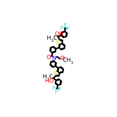 COCCN(C(=O)c1cccc(-c2cccc3cc(C(C)(O)c4cccc(C(F)(F)F)c4)sc23)c1)c1cccc(-c2cccc3cc(C(C)(O)c4cccc(C(F)(F)F)c4)sc23)c1